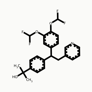 CC(C)(O)c1ccc(C(Cc2cccnc2)c2ccc(OC(F)F)c(OC(F)F)c2)cc1